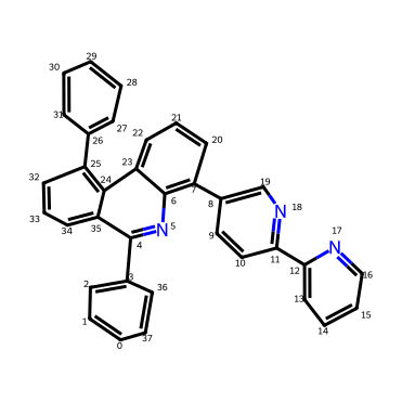 c1ccc(-c2nc3c(-c4ccc(-c5ccccn5)nc4)cccc3c3c(-c4ccccc4)cccc23)cc1